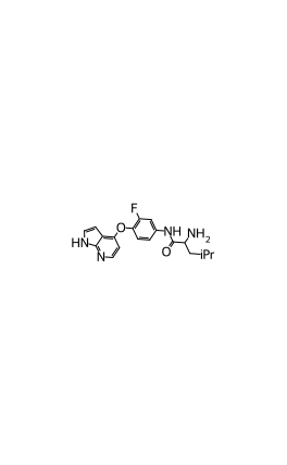 CC(C)CC(N)C(=O)Nc1ccc(Oc2ccnc3[nH]ccc23)c(F)c1